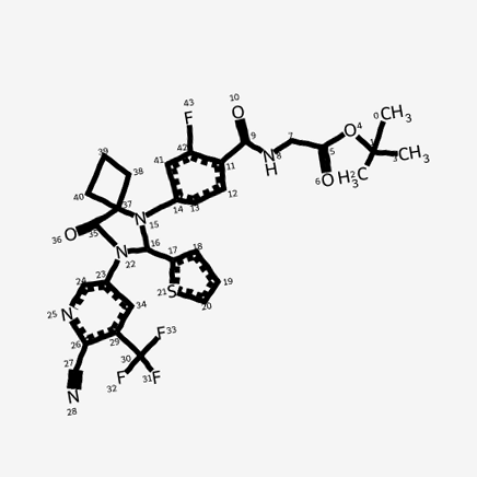 CC(C)(C)OC(=O)CNC(=O)c1ccc(N2C(c3cccs3)N(c3cnc(C#N)c(C(F)(F)F)c3)C(=O)C23CCC3)cc1F